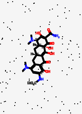 CCOC(=O)Nc1cc(N(C)C)c2c(c1O)C(=O)C1=C(O)[C@]3(O)C(=O)C(C(N)=O)=C(O)[C@@H](N(C)C)[C@@H]3C[C@@H]1C2